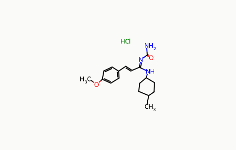 COc1ccc(C=CC(=NC(N)=O)NC2CCC(C)CC2)cc1.Cl